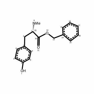 CN[C@@H](Cc1ccc(O)cc1)C(=O)OCc1ccccc1